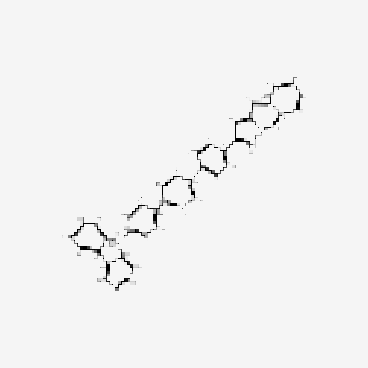 c1ccc2cn3nc(-c4ccc(-c5ccc(-c6ccc(-n7c8ccccc8c8ccccc87)cc6)nc5)cc4)cc3cc2c1